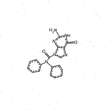 Nc1nc2c(ncn2C(=O)N(c2ccccc2)c2ccccc2)c(=O)[nH]1